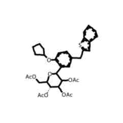 CC(=O)OCC1OC(c2cc(Cc3cc4ccccc4s3)ccc2OC2CCCC2)C(OC(C)=O)C(OC(C)=O)[C@@H]1OC(C)=O